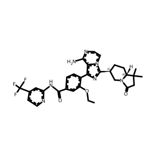 CCOc1cc(C(=O)Nc2cc(C(F)(F)F)ccn2)ccc1-c1nc([C@H]2CC[C@H]3N(C2)C(=O)CC3(C)C)n2ccnc(N)c12